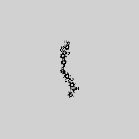 O=C1CCC(N2C(=O)c3ccc(N4CCC(CCn5cc(-c6ccc(C(=O)Nc7ccc8[nH]c(CN9CCCC9)nc8c7)cc6)nn5)CC4)cc3C2=O)C(=O)N1